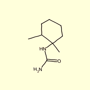 CC1CCCCC1(C)NC(N)=O